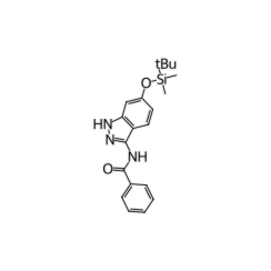 CC(C)(C)[Si](C)(C)Oc1ccc2c(NC(=O)c3ccccc3)n[nH]c2c1